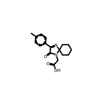 Cc1ccc(C2=NC3(CCCCC3)N(CC(=O)O)C2=O)cc1